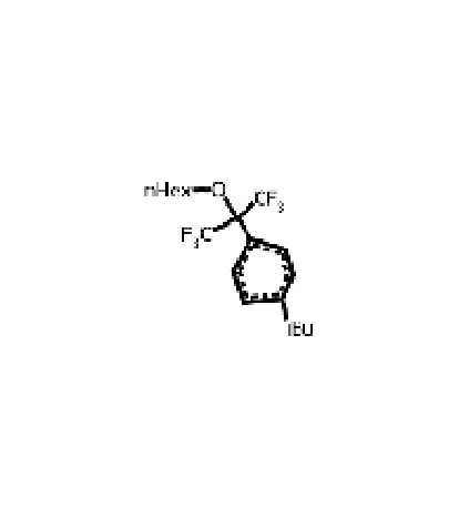 CCCCCCOC(c1ccc(C(C)CC)cc1)(C(F)(F)F)C(F)(F)F